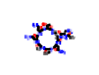 CCCC(=O)N[C@@H](CN)C(=O)N[C@H]1CCNC(=O)C(C(C)O)NC(=O)C(CCN)NC(=O)C(CCN)NC(=O)[C@H](CC)NC(=O)[C@@H](CC(C)C)NC(=O)C(CCN)NC1=O